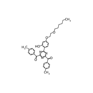 CCCCCCOCCOc1ccc(-c2nc(C(=O)c3ccc(C)cc3)nc(C(=O)c3ccc(C)cc3)n2)c(O)c1